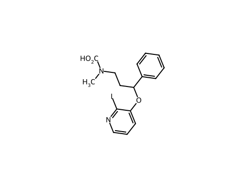 CN(CCC(Oc1cccnc1I)c1ccccc1)C(=O)O